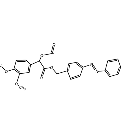 COc1ccc(C(O[C]=O)C(=O)OCc2ccc(N=Nc3ccccc3)cc2)cc1OC